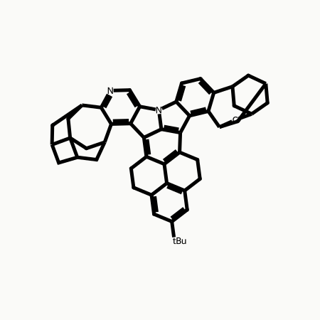 CC(C)(C)c1cc2c3c(c1)CCc1c-3c(c3c4c5c(ccc4n4c6cnc7c(c6c1c34)C1CC3CC4CC7CC43C1)C1CC3CC(C1)CC5C3)CC2